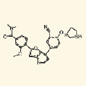 COc1cc(C(=O)N(C)C)ccc1-c1cc2nccc(-c3ccc(O[C@@H]4CCNC4)c(C#N)c3)c2o1